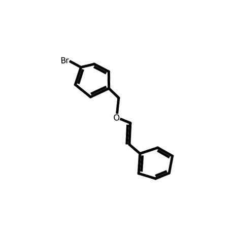 Brc1ccc(COC=Cc2ccccc2)cc1